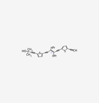 C#Cc1ccc(C#C/C(CCC)=C(/C#Cc2ccc(C#CC(C)(C)O)s2)CCC)s1